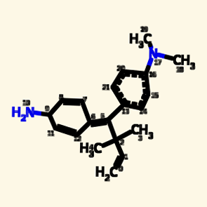 C=CC(C)(C)C(=C1C=CC(N)C=C1)c1ccc(N(C)C)cc1